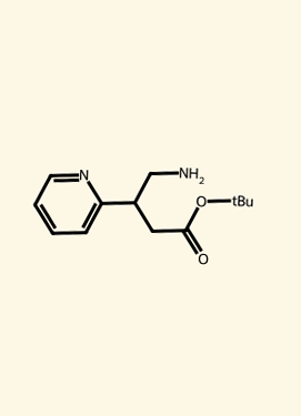 CC(C)(C)OC(=O)CC(CN)c1ccccn1